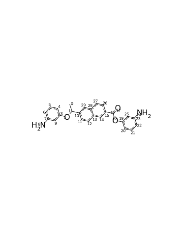 CC(Oc1cccc(N)c1)c1ccc2cc(C(=O)Oc3cccc(N)c3)ccc2c1